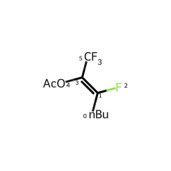 CCCC/C(F)=C(\OC(C)=O)C(F)(F)F